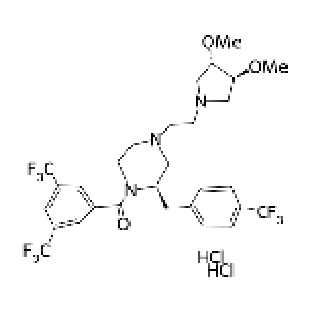 CO[C@H]1CN(CCN2CCN(C(=O)c3cc(C(F)(F)F)cc(C(F)(F)F)c3)[C@H](Cc3ccc(C(F)(F)F)cc3)C2)C[C@@H]1OC.Cl.Cl